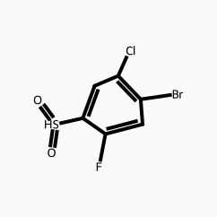 O=[SH](=O)c1cc(Cl)c(Br)cc1F